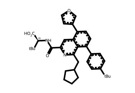 CC(C)(C)c1ccc(-c2ccc(-c3ccoc3)c3cc(C(=O)N[C@H](C(=O)O)C(C)(C)C)nc(CC4CCCC4)c23)cc1